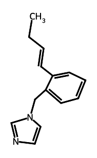 CCC=Cc1ccccc1Cn1ccnc1